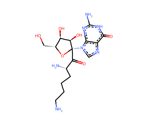 NCCCC[C@H](N)C(=O)[C@@]1(n2cnc3c(=O)[nH]c(N)nc32)O[C@H](CO)[C@@H](O)[C@H]1O